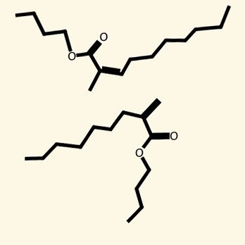 C=C(CCCCCCC)C(=O)OCCCC.CCCCCCCC=C(C)C(=O)OCCCC